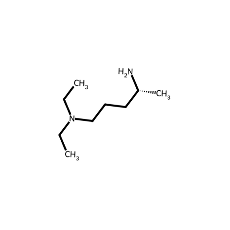 CCN(CC)CCC[C@@H](C)N